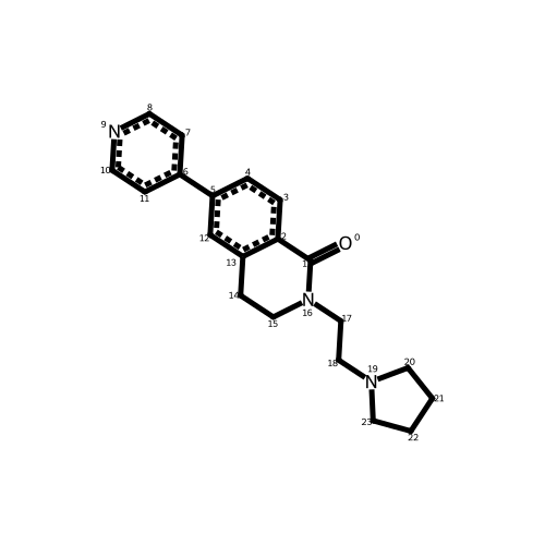 O=C1c2ccc(-c3ccncc3)cc2CCN1CCN1CCCC1